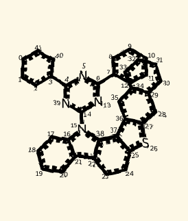 c1ccc(-c2nc(-c3ccccc3)nc(-n3c4ccccc4c4ccc5sc6cc7ccccc7cc6c5c43)n2)cc1